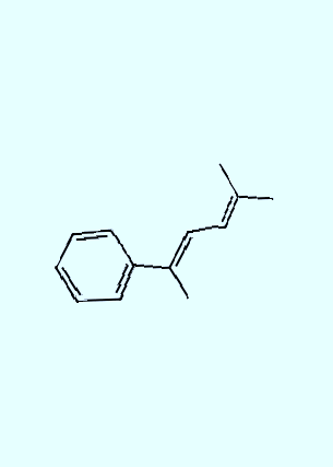 CC(C)=CC=C(C)c1ccccc1